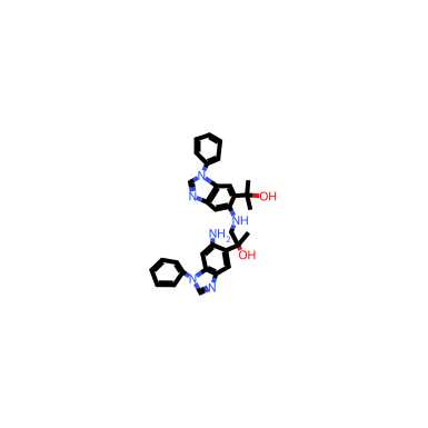 CC(C)(O)c1cc2c(cc1NCC(C)(O)c1cc3ncn(-c4ccccc4)c3cc1N)ncn2-c1ccccc1